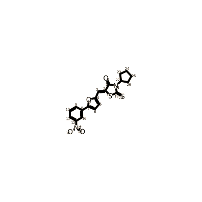 O=C1/C(=C/c2ccc(-c3cccc([N+](=O)[O-])c3)o2)SC(=S)N1C1CCCC1